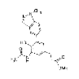 COC(=O)CCc1cc(NC(=O)C(F)(F)F)c(O)c(-c2ccc3c(cnn3C)c2)c1